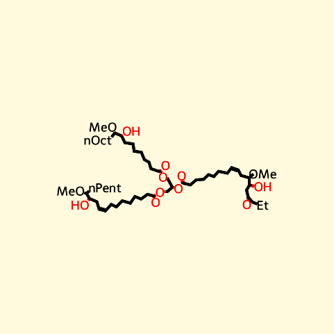 CCCCCCCCC(OC)C(O)CCCCCCCC(=O)OCC(COC(=O)CCCCCCC/C=C\CC(O)C(CCCCC)OC)OC(=O)CCCCCCC/C=C\CC(OC)C(O)CC1OC1CC